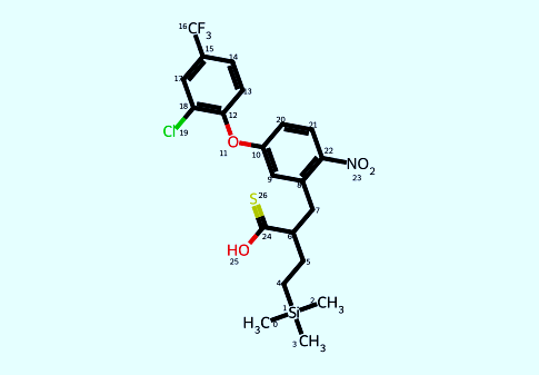 C[Si](C)(C)CCC(Cc1cc(Oc2ccc(C(F)(F)F)cc2Cl)ccc1[N+](=O)[O-])C(O)=S